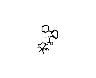 CC1(C)N[C@H](C(=O)Nc2ccccc2-c2ccccc2)CS1